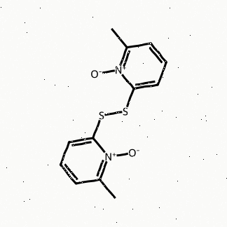 Cc1cccc(SSc2cccc(C)[n+]2[O-])[n+]1[O-]